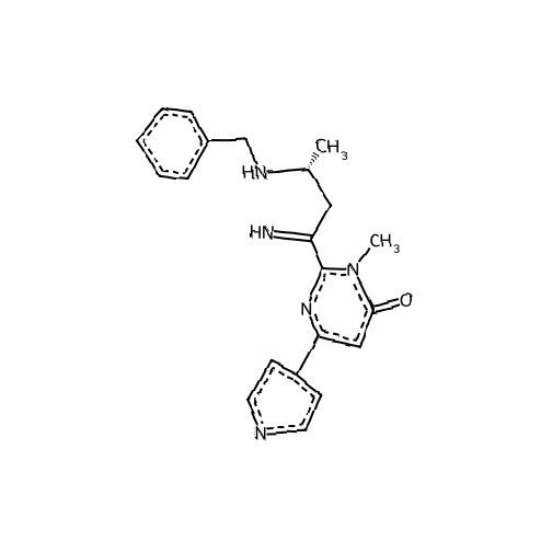 C[C@H](CC(=N)c1nc(-c2ccncc2)cc(=O)n1C)NCc1ccccc1